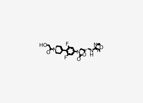 O=C(CO)N1CC=C(c2c(F)cc(N3C[C@H](CNc4ncon4)OC3=O)cc2F)CC1